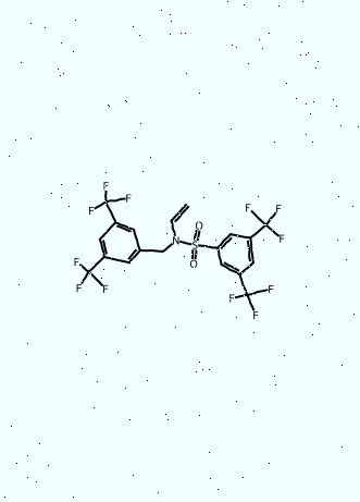 C=CN(Cc1cc(C(F)(F)F)cc(C(F)(F)F)c1)S(=O)(=O)c1cc(C(F)(F)F)cc(C(F)(F)F)c1